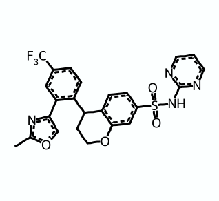 Cc1nc(-c2cc(C(F)(F)F)ccc2C2CCOc3cc(S(=O)(=O)Nc4ncccn4)ccc32)co1